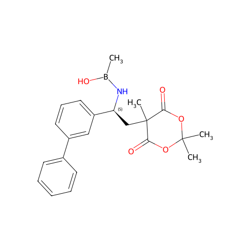 CB(O)N[C@@H](CC1(C)C(=O)OC(C)(C)OC1=O)c1cccc(-c2ccccc2)c1